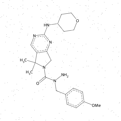 COc1ccc(CN(N)C(=O)N2Cc3nc(NC4CCOCC4)ncc3C2(C)C)cc1